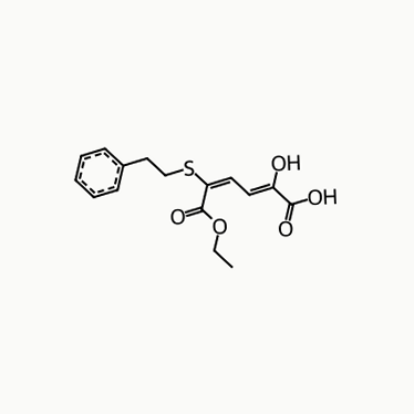 CCOC(=O)C(=CC=C(O)C(=O)O)SCCc1ccccc1